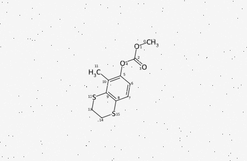 COC(=O)Oc1ccc2c(c1C)SCCS2